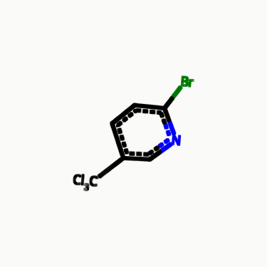 ClC(Cl)(Cl)c1ccc(Br)nc1